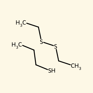 CCCS.CCSSCC